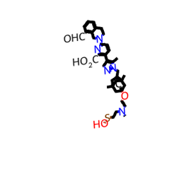 Cc1c(-c2ccc(N3CCc4cccc(C=O)c4C3)nc2C(=O)O)cnn1CC12CC3(C)CC(OCCN(C)CCSO)(CC1(C)C3)C2